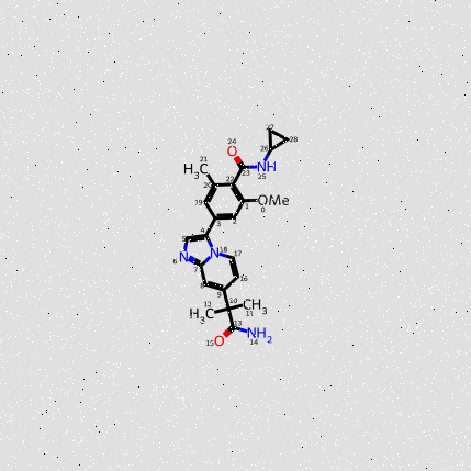 COc1cc(-c2cnc3cc(C(C)(C)C(N)=O)ccn23)cc(C)c1C(=O)NC1CC1